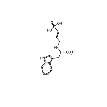 O=C(O)[C@H](Cc1c[nH]c2ccccc12)NCC=CP(=O)(O)O